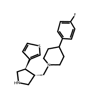 Fc1ccc(C2CCN(C[C@@H]3CNC[C@H]3c3ccsc3)CC2)cc1